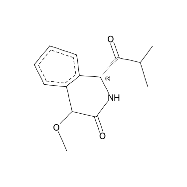 COC1C(=O)N[C@@H](C(=O)C(C)C)c2ccccc21